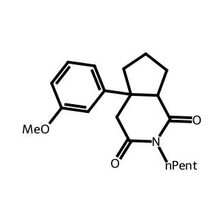 CCCCCN1C(=O)CC2(c3cccc(OC)c3)CCCC2C1=O